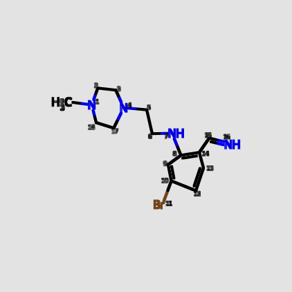 CN1CCN(CCNc2cc(Br)ccc2C=N)CC1